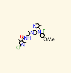 COc1ccc(N(Cc2cnccc2C)C2CCN(C(C)CCNC(=O)c3c(C)cc(Cl)nc3C)CC2)c(F)c1